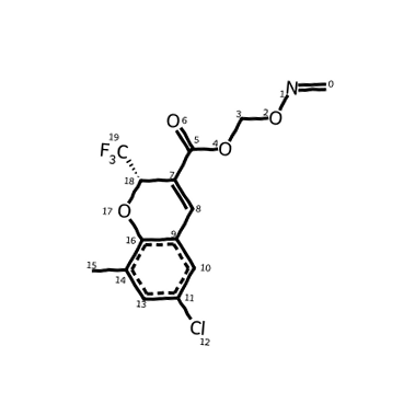 C=NOCOC(=O)C1=Cc2cc(Cl)cc(C)c2O[C@@H]1C(F)(F)F